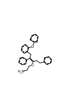 NCCO/C(CCc1ccccc1)=C(/Cc1ccccc1Oc1ccccc1)c1ccccc1